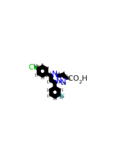 O=C(O)c1cc2nc(-c3ccc(Cl)cc3)cc(-c3cccc(F)c3)n2n1